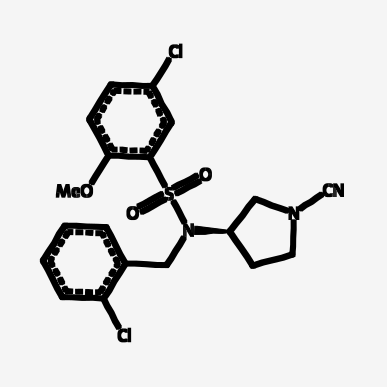 COc1ccc(Cl)cc1S(=O)(=O)N(Cc1ccccc1Cl)[C@@H]1CCN(C#N)C1